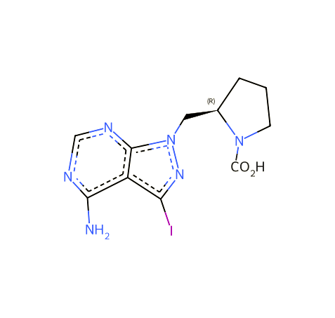 Nc1ncnc2c1c(I)nn2C[C@H]1CCCN1C(=O)O